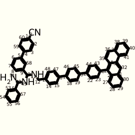 N#Cc1ccc(-c2cccc(C(NCc3ccc(-c4ccc(-c5ccc(-c6c7ccccc7cc7c6ccc6ccccc67)cc5)cc4)cc3)NC(N)c3ccccc3)c2)cc1